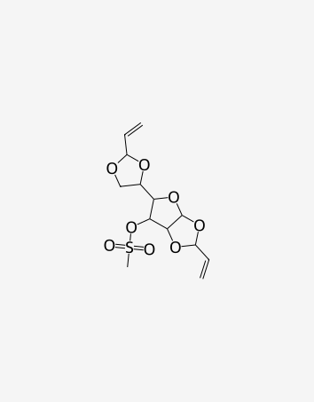 C=CC1OCC(C2OC3OC(C=C)OC3C2OS(C)(=O)=O)O1